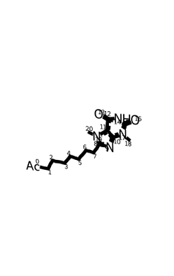 CC(=O)CCCCCCCc1nc2c(c(=O)[nH]c(=O)n2C)n1C